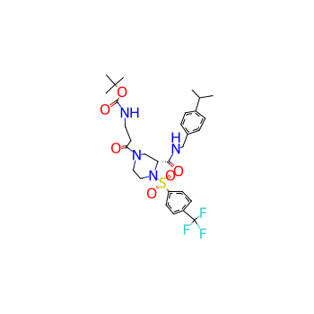 CC(C)c1ccc(CNC(=O)[C@H]2CN(C(=O)CCNC(=O)OC(C)(C)C)CCN2S(=O)(=O)c2ccc(C(F)(F)F)cc2)cc1